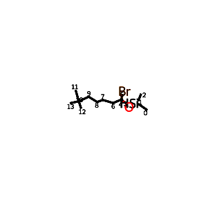 C[SiH](C)OC(Br)CCCCC(C)(C)C